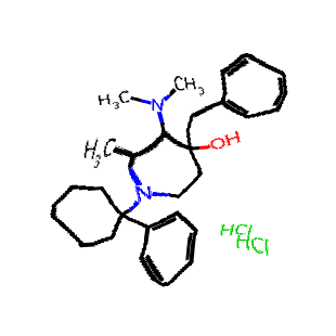 CC1C(N(C)C)C(O)(Cc2ccccc2)CCN1C1(c2ccccc2)CCCCC1.Cl.Cl